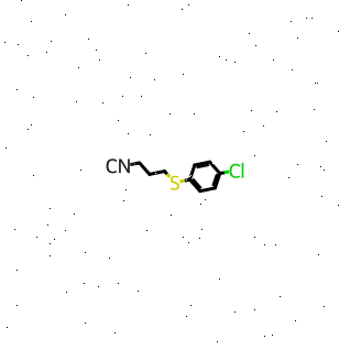 [C-]#[N+]CCCSc1ccc(Cl)cc1